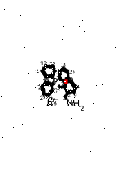 NCc1ccccc1C[P+](c1ccccc1)(c1ccccc1)c1ccccc1.[Br-]